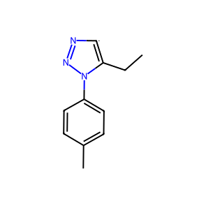 CCc1[c]nnn1-c1ccc(C)cc1